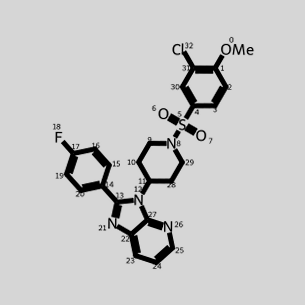 COc1ccc(S(=O)(=O)N2CCC(n3c(-c4ccc(F)cc4)nc4cccnc43)CC2)cc1Cl